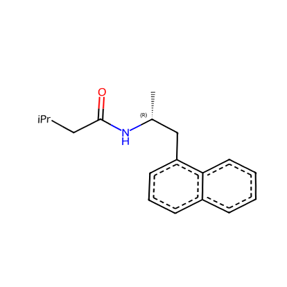 CC(C)CC(=O)N[C@H](C)Cc1cccc2ccccc12